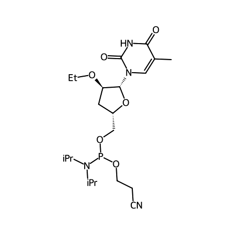 CCO[C@@H]1C[C@@H](COP(OCCC#N)N(C(C)C)C(C)C)O[C@H]1n1cc(C)c(=O)[nH]c1=O